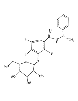 C[C@H](NC(=O)c1cc(F)c(F)c(OC2OC(CO)C(O)C(O)C2O)c1F)c1ccccc1